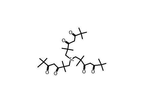 CC(C)(C)C(=O)CC(=O)C(C)(C)[CH2][Sc]([CH2]C(C)(C)C(=O)CC(=O)C(C)(C)C)[CH2]C(C)(C)C(=O)CC(=O)C(C)(C)C